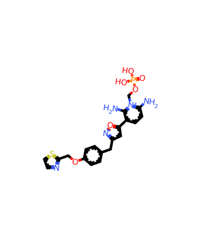 Nc1ccc(-c2cc(Cc3ccc(OCc4nccs4)cc3)no2)c(N)[n+]1COP(=O)(O)O